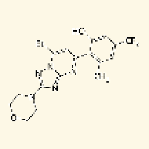 CCc1cc(-c2c(C)cc(C(F)(F)F)cc2O)nc2nc(N3CCOCC3)nn12